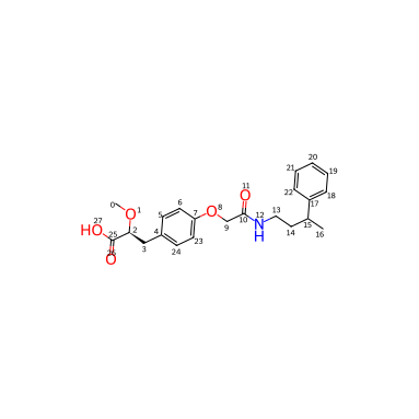 CO[C@@H](Cc1ccc(OCC(=O)NCCC(C)c2ccccc2)cc1)C(=O)O